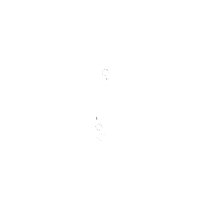 CC1(C)OCc2cc([C@@H](O)CNCCCCCCOCCC#Cc3ccc(N4C(=O)CNC4=O)cc3)ccc2O1